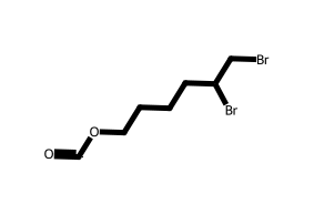 O=[C]OCCCCC(Br)CBr